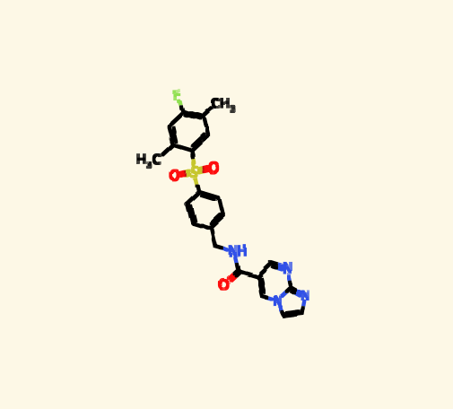 Cc1cc(S(=O)(=O)c2ccc(CNC(=O)c3cnc4nccn4c3)cc2)c(C)cc1F